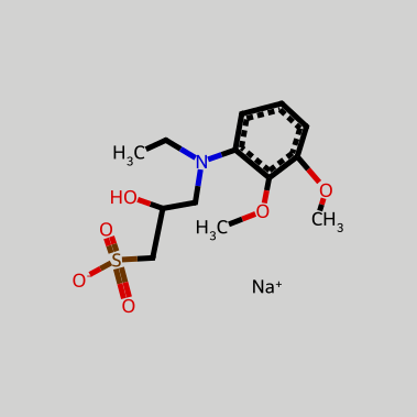 CCN(CC(O)CS(=O)(=O)[O-])c1cccc(OC)c1OC.[Na+]